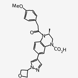 COc1ccc(CC(=O)N2c3ccc(-c4cnn(C5COC5)c4)cc3N(C(=O)O)C[C@@H]2C)cc1